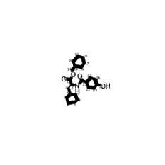 O=C(N[C@@H](Cc1ccccc1)C(=O)OCc1ccccc1)c1ccc(O)cc1